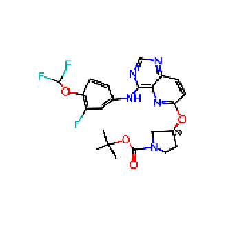 CC(C)(C)OC(=O)N1CC[C@H](Oc2ccc3ncnc(Nc4ccc(OC(F)F)c(F)c4)c3n2)C1